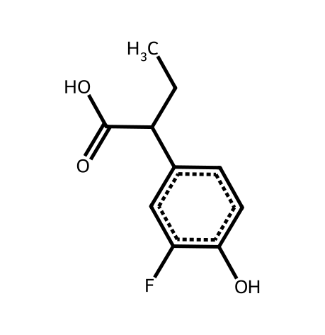 CCC(C(=O)O)c1ccc(O)c(F)c1